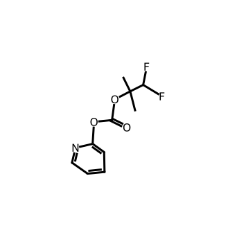 CC(C)(OC(=O)Oc1ccccn1)C(F)F